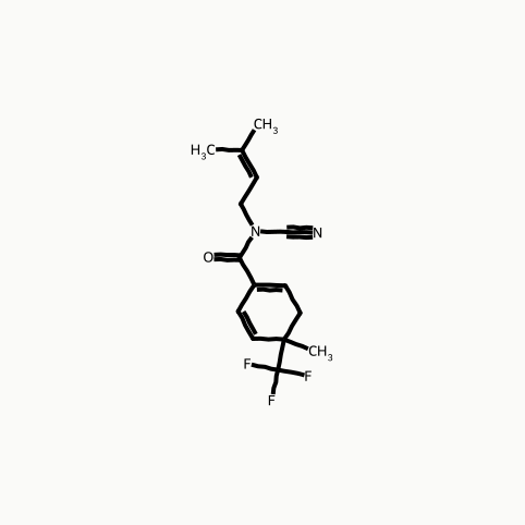 CC(C)=CCN(C#N)C(=O)C1=CCC(C)(C(F)(F)F)C=C1